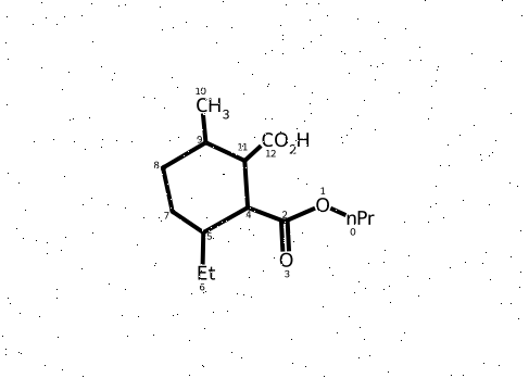 CCCOC(=O)C1C(CC)CCC(C)C1C(=O)O